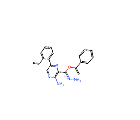 C=Cc1ccccc1-c1cnc(N)c(/C(=N/N)OC(=C)c2ccccc2)n1